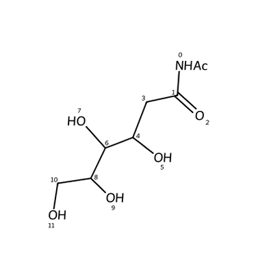 CC(=O)NC(=O)CC(O)C(O)C(O)CO